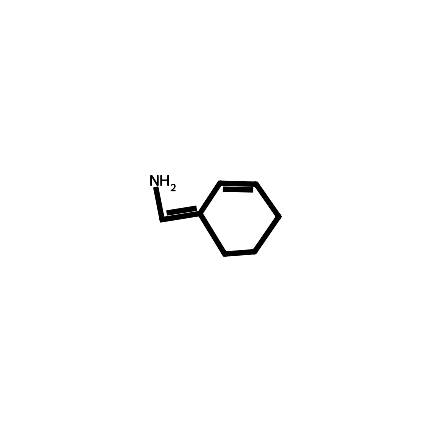 N/C=C1\C=CCCC1